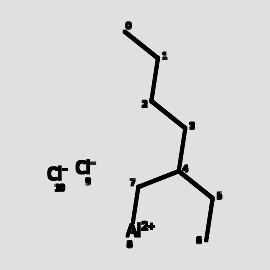 CCCCC(CC)[CH2][Al+2].[Cl-].[Cl-]